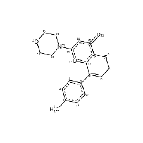 Cc1ccc(C2=CCSc3c2oc(N2CCOCC2)cc3=O)cc1